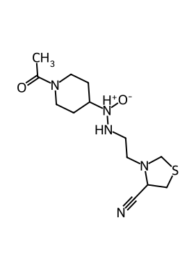 CC(=O)N1CCC([NH+]([O-])NCCN2CSCC2C#N)CC1